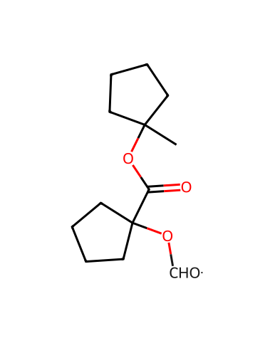 CC1(OC(=O)C2(O[C]=O)CCCC2)CCCC1